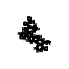 CCNC(=O)C(NC(=O)C1(c2ccc3nc(CC(c4ccccc4Cl)C(C)C)[nH]c3c2)CCOC1)C1CCC1